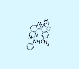 Cc1ccc(Cl)c(-c2c3c(nn2C)CCc2cnc(Nc4ccccc4)nc2-3)c1